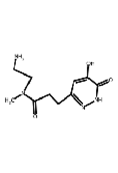 CN(CCN)C(=O)CCc1cc(O)c(=O)[nH]n1